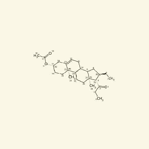 CCC(=O)[C@H]1[C@H](CC)CC2C3CC=C4C[C@@H](OC(C)=O)CC[C@]4(C)C3CC[C@@]21C